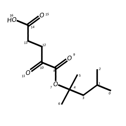 CC(C)CC(C)(C)OC(=O)C(=O)CCC(=O)O